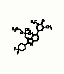 CCOC(C)(O)Cn1c(C2CCC(F)(F)CC2)nc2ccc(-c3cc(C)c(=O)n(C)c3)cc21